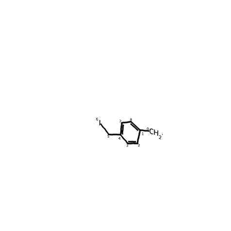 [CH2]c1ccc(CI)cc1